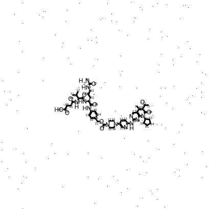 CC(=O)c1c(C)c2cnc(Nc3ccc(N4CCN(C(=O)OCc5ccc(NC(=O)[C@H](CCCNC(N)=O)NC(=O)[C@@H](NC(=O)CCC(=O)O)C(C)C)cc5)CC4)cn3)nc2n(C2CCCC2)c1=O